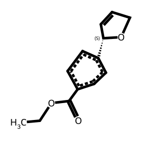 CCOC(=O)c1ccc([C@@H]2C=CCO2)cc1